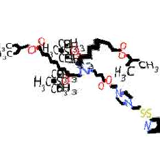 CCC(CC)COC(=O)CCCCCCC(CN(CCCC(=O)OCCN1CCN(CCSSc2ccccn2)CC1)CC(CCCCCCC(=O)OCC(CC)CC)O[Si](C)(C)C(C)(C)C)O[Si](C)(C)C(C)(C)C